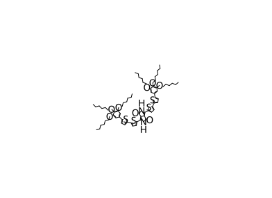 CCCCCCOc1cc(-c2ccc(-c3ccc(C4=C5C(=O)NC(c6ccc(-c7ccc(-c8cc(OCCCCCC)c(OCCCCCC)c(OCCCCCC)c8)s7)s6)=C5C(=O)N4)s3)s2)cc(OCCCCCC)c1OCCCCCC